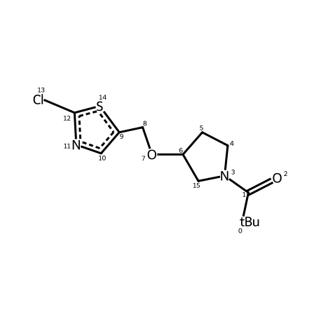 CC(C)(C)C(=O)N1CCC(OCc2cnc(Cl)s2)C1